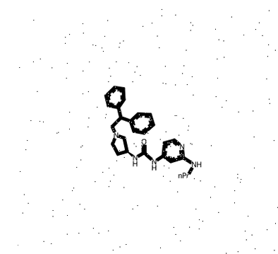 CCCNc1cc(NC(=O)N[C@H]2CCN(CC(c3ccccc3)c3ccccc3)C2)ccn1